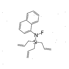 C=CC[Si](CC=C)(CC=C)N(F)c1cccc2ccccc12